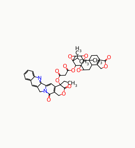 CCC1(OC(=O)CC(=O)OC2C3(C(C)C)OC3C3OC34C3(C)CCC5=C(COC5=O)C3CC3OC324)C(=O)OCc2c1cc1n(c2=O)Cc2cc3ccccc3nc2-1